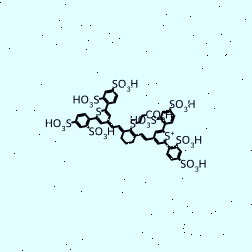 O=C(O)CCSC1=C(/C=C/c2cc(-c3ccc(S(=O)(=O)O)cc3S(=O)(=O)O)[s+]c(-c3ccc(S(=O)(=O)O)cc3S(=O)(=O)O)c2)CCC/C1=C\C=C1C=C(c2ccc(S(=O)(=O)O)cc2S(=O)(=O)O)SC(c2ccc(S(=O)(=O)O)cc2S(=O)(=O)O)=C1